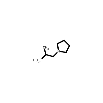 CC(CN1CCCC1)C(=O)O